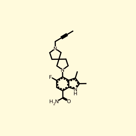 CC#CCN1CCC2(CCN(c3c(F)cc(C(N)=O)c4[nH]c(C)c(C)c34)C2)C1